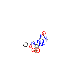 CC(C)N1CC(=O)N(C)c2cnc(Nc3cc(N(C)C(=O)Cc4ccccc4)cc(S(C)(=O)=O)c3)nc21